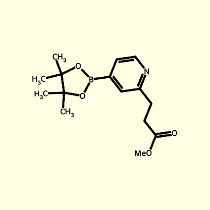 COC(=O)CCc1cc(B2OC(C)(C)C(C)(C)O2)ccn1